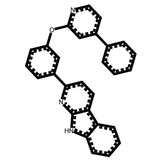 c1ccc(-c2ccnc(Oc3cccc(-c4ccc5c(n4)[nH]c4ccccc45)c3)c2)cc1